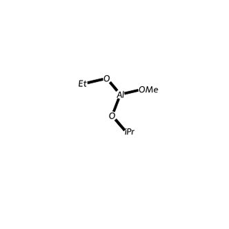 CC[O][Al]([O]C)[O]C(C)C